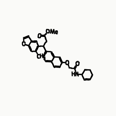 COC(=O)CC(c1ccc2ccc(OCC(=O)NC3C=CCCC3)cc2c1)c1cc2ccoc2cc1C